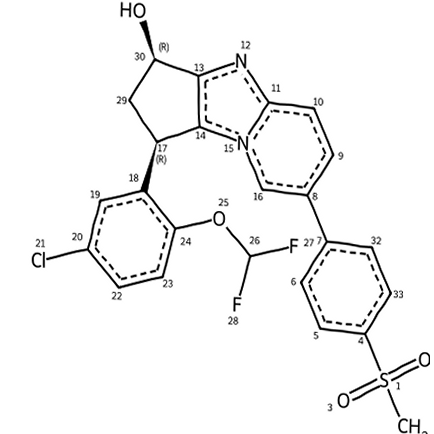 CS(=O)(=O)c1ccc(-c2ccc3nc4c(n3c2)[C@@H](c2cc(Cl)ccc2OC(F)F)C[C@H]4O)cc1